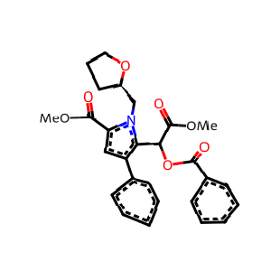 COC(=O)c1cc(-c2ccccc2)c(C(OC(=O)c2ccccc2)C(=O)OC)n1C[C@H]1CCCO1